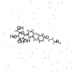 C/N=C/CCOc1ccc(Cc2cccc([C@@H]3O[C@H](CO)[C@@H](O)[C@H](O)[C@H]3O)c2)cc1